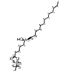 CCCCCCCCCCCCC#CC(O)CCCCC(=O)O[Si](C)(C)C(C)(C)C